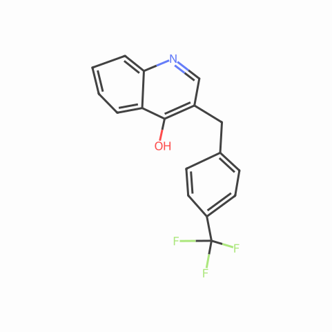 Oc1c(Cc2ccc(C(F)(F)F)cc2)cnc2ccccc12